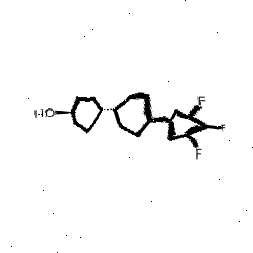 O[C@H]1CC[C@H](C2CCC(c3cc(F)c(F)c(F)c3)CC2)CC1